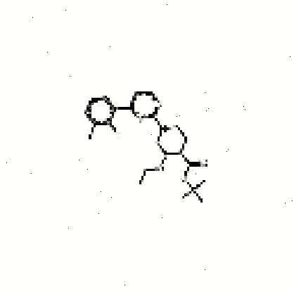 CCO[C@H]1CN(c2nccc(-c3cccc(C)c3O)n2)CC[C@H]1C(=O)OC(C)(C)C